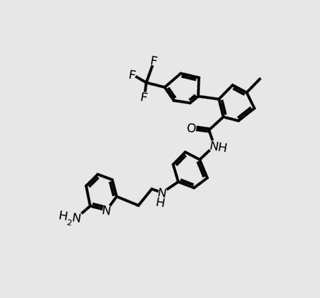 Cc1ccc(C(=O)Nc2ccc(NCCc3cccc(N)n3)cc2)c(-c2ccc(C(F)(F)F)cc2)c1